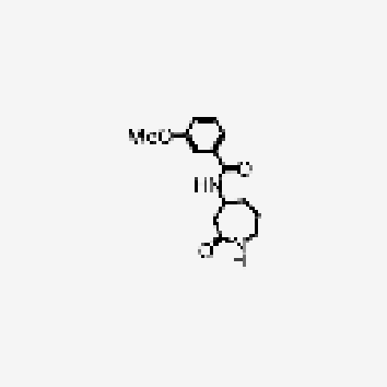 COc1cccc(C(=O)NC2CCCNC(=O)C2)c1